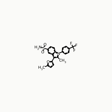 Cc1ccc(-c2c(C)n(-c3ccc(C(F)(F)F)cc3)c3ccc(S(N)(=O)=O)cc23)o1